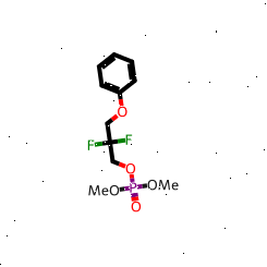 COP(=O)(OC)OCC(F)(F)COc1ccccc1